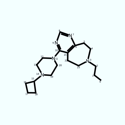 CCCN1CCc2ncnc(N3CCN(C4CCC4)CC3)c2CC1